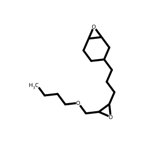 CCCCOCC1OC1CCCC1CCC2OC2C1